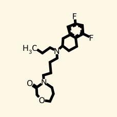 CCCN(CCCCN1CCCOCC1=O)C1CCc2c(F)cc(F)cc2C1